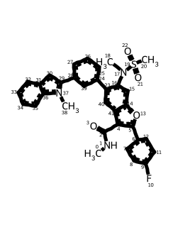 CNC(=O)c1c(-c2ccc(F)cc2)oc2cc(N(C)S(C)(=O)=O)c(-c3cccc(-c4cc5ccccc5n4C)c3)cc12